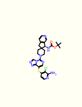 CC(C)(C)OC(=O)N[C@@H]1c2cnccc2CC12CCN(c1ncc(Sc3ccnc(N)c3Cl)c3nncn13)CC2